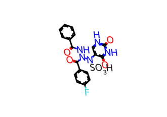 O=C(NN(C(=O)c1ccc(F)cc1)N(c1c[nH]c(=O)[nH]c1=O)S(=O)(=O)O)c1ccccc1